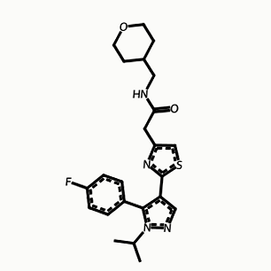 CC(C)n1ncc(-c2nc(CC(=O)NCC3CCOCC3)cs2)c1-c1ccc(F)cc1